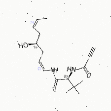 C#CC(=O)N[C@H](C(=O)N/C=C\C[C@@H](O)C/C=C\C)C(C)(C)C